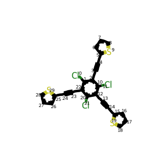 Clc1c(C#Cc2cccs2)c(Cl)c(C#Cc2cccs2)c(Cl)c1C#Cc1cccs1